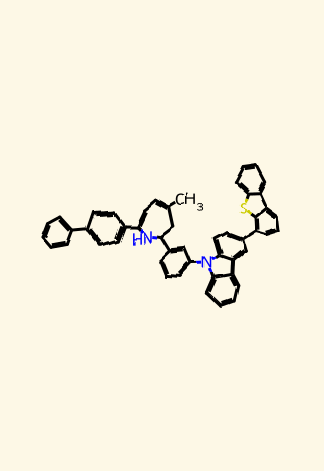 CC1=CC=C(c2ccc(-c3ccccc3)cc2)NC(c2cccc(-n3c4ccccc4c4cc(-c5cccc6c5sc5ccccc56)ccc43)c2)C1